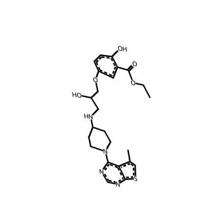 CCOC(=O)c1cc(OCC(O)CNC2CCN(c3ncnc4scc(C)c34)CC2)ccc1O